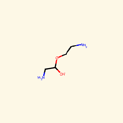 NCCOC(O)CN